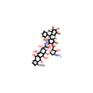 COc1cccc2c1C(=O)c1c(O)c3c(c(O)c1C2=O)C[C@@](O)(/C(CO)=N/NS(=O)(=O)c1ccccc1/C(=C1/C=C(Br)C(=O)C(Br)=C1C)c1cc(Br)c(O)c(Br)c1C)C[C@@H]3O[C@H]1C[C@@H](N)[C@H](O)C(C)O1